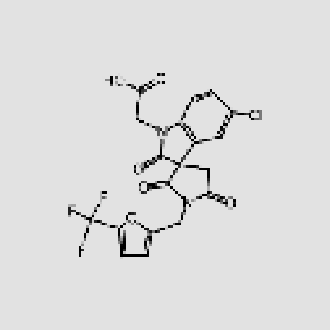 O=C(O)CN1C(=O)C2(CC(=O)N(Cc3ccc(C(F)(F)F)o3)C2=O)c2cc(Cl)ccc21